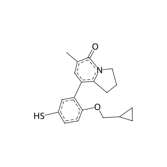 Cc1cc(-c2cc(S)ccc2OCC2CC2)c2n(c1=O)CCC2